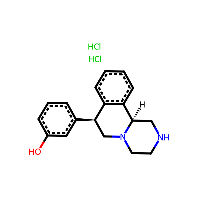 Cl.Cl.Oc1cccc([C@@H]2CN3CCNC[C@@H]3c3ccccc32)c1